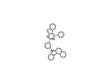 c1ccc(-c2nc(-c3cccc(-n4c5ccccc5c5c6ccccc6ccc54)c3)nc3sc4ccccc4c23)cc1